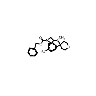 CC(=O)c1ccc(C2(N(C)C3CN(C(=O)OCc4ccccc4)C3)CCOCC2)cc1